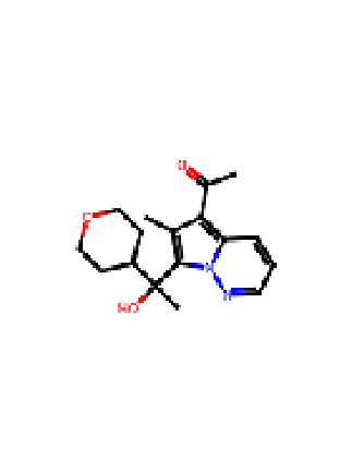 CC(=O)c1c(C)c(C(C)(O)C2CCOCC2)n2ncccc12